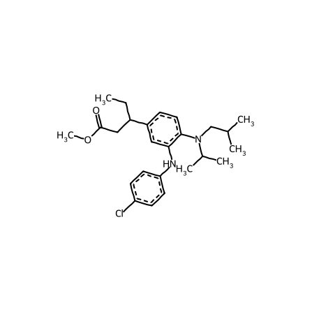 CCC(CC(=O)OC)c1ccc(N(CC(C)C)C(C)C)c(Nc2ccc(Cl)cc2)c1